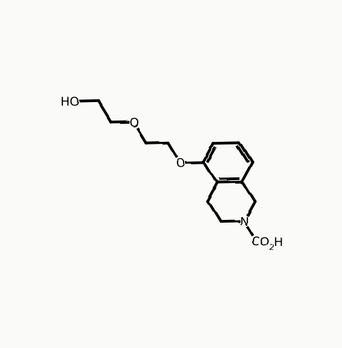 O=C(O)N1CCc2c(cccc2OCCOCCO)C1